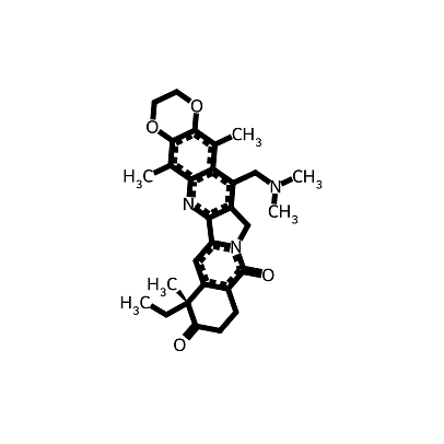 CC[C@@]1(C)C(=O)CCc2c1cc1n(c2=O)Cc2c-1nc1c(C)c3c(c(C)c1c2CN(C)C)OCCO3